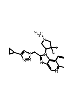 CN1CC(n2c(Cn3cc(C4CC4)nn3)nc3cnc4ccc(Cl)cc4c32)C(F)(F)C1